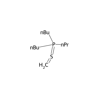 C=S=P(CCC)(CCCC)CCCC